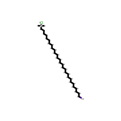 C[Si](C)(Cl)CCCCCCCCCCCCCCCCCCCCCCCCCCCCCI